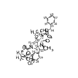 CN(C(=O)[C@@H]1COC(C)(C)N1C(=O)OCc1ccccc1)[C@@]1(Cc2ccc(Cl)cc2)CCCN(C(=O)OC(C)(C)C)C1